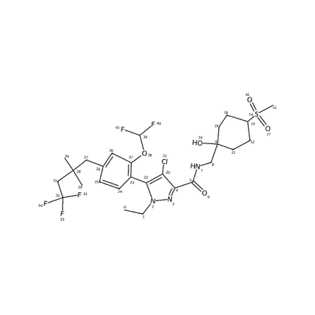 CCn1nc(C(=O)NCC2(O)CCC(S(C)(=O)=O)CC2)c(Cl)c1-c1ccc(CC(C)(C)CC(F)(F)F)cc1OC(F)F